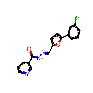 O=C(NN=Cc1ccc(-c2cccc(Br)c2)o1)c1cccnc1